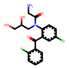 NCC(=O)N(CC(O)CO)c1ccc(Cl)cc1C(=O)c1ccccc1F